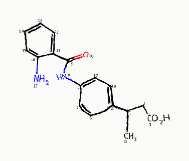 CC(CC(=O)O)c1ccc(NC(=O)c2ccccc2N)cc1